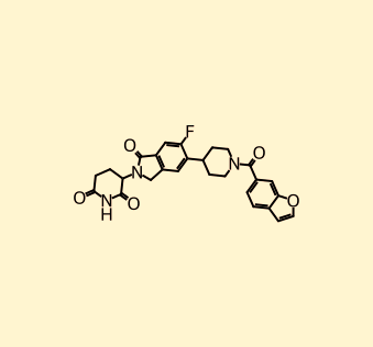 O=C1CCC(N2Cc3cc(C4CCN(C(=O)c5ccc6ccoc6c5)CC4)c(F)cc3C2=O)C(=O)N1